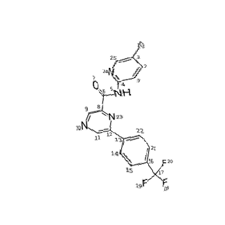 Cc1ccc(NC(=O)c2cncc(-c3ccc(C(F)(F)F)cc3)n2)nc1